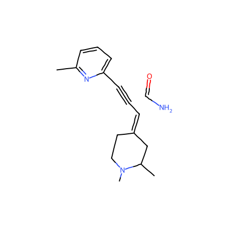 Cc1cccc(C#CC=C2CCN(C)C(C)C2)n1.NC=O